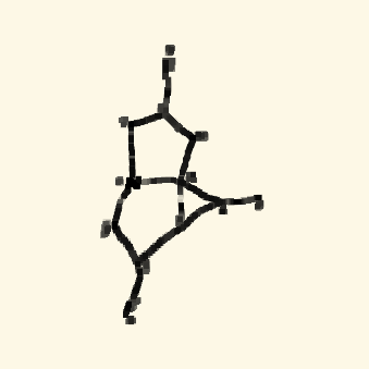 CC1C2C(F)CN3CC(F)CC123